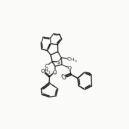 CC12SC(C)(C(OC(=O)c3ccccc3)C1OC(=O)c1ccccc1)C1c3cccc4cccc(c34)C12